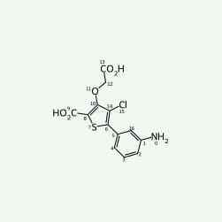 Nc1cccc(-c2sc(C(=O)O)c(OCC(=O)O)c2Cl)c1